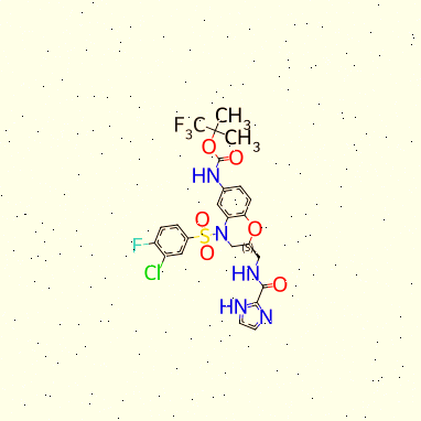 CC(C)(OC(=O)Nc1ccc2c(c1)N(S(=O)(=O)c1ccc(F)c(Cl)c1)C[C@H](CNC(=O)c1ncc[nH]1)O2)C(F)(F)F